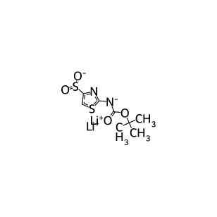 CC(C)(C)OC(=O)[N-]c1nc(S(=O)[O-])cs1.[Li+].[Li+]